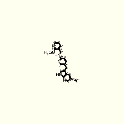 [C-]#[N+]c1cnc2[nH]cc(Cc3ccc(NCc4cccnc4OC)nc3)c2c1